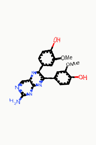 COc1cc(-c2nc3cnc(N)nc3nc2-c2ccc(O)c(OC)c2)ccc1O